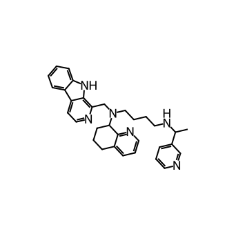 CC(NCCCCN(Cc1nccc2c1[nH]c1ccccc12)C1CCCc2cccnc21)c1cccnc1